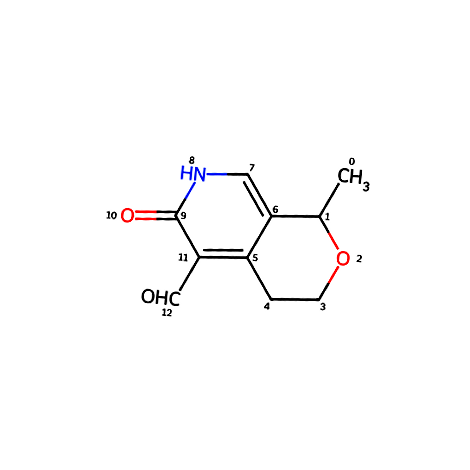 CC1OCCc2c1c[nH]c(=O)c2C=O